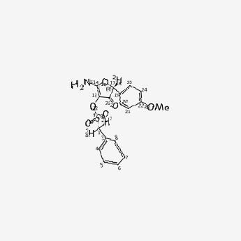 [2H]C([2H])(c1ccccc1)S(=O)(=O)OC1=C(N)O[C@]([2H])(c2ccc(OC)cc2)C1=O